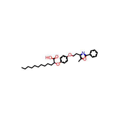 CCCCCCCCCCC(Oc1ccc(OCCc2nc(-c3ccccc3)oc2C)cc1)C(=O)O